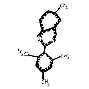 Cc1cc(C)c(-c2nc3cc(C)ccc3s2)c(C)c1